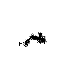 COC(=O)C1=C(CN2CCN3C(=O)N(CC#Cc4ccc(C(=O)O)cc4)CC3C2)NC(c2nccs2)=NC1c1ccc(F)cc1Cl